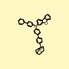 c1ccc(-c2ccc(N(c3ccc(-c4ccc(N5C6CC7CC(C6)CC5C7)cc4)cc3)c3ccc4c(c3)oc3ccccc34)cc2)cc1